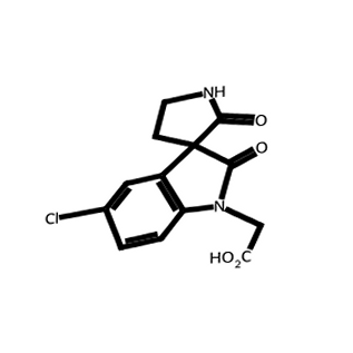 O=C(O)CN1C(=O)C2(CCNC2=O)c2cc(Cl)ccc21